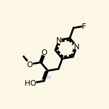 COC(=O)/C(=C\O)Cc1cnc(CF)nc1